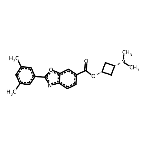 Cc1cc(C)cc(-c2nc3ccc(C(=O)O[C@H]4C[C@@H](N(C)C)C4)cc3o2)c1